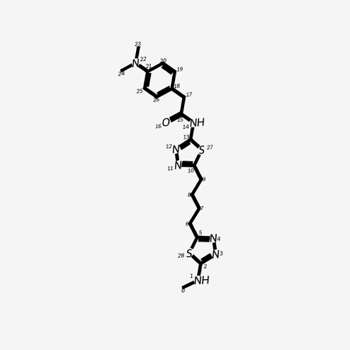 CNc1nnc(CCCCc2nnc(NC(=O)Cc3ccc(N(C)C)cc3)s2)s1